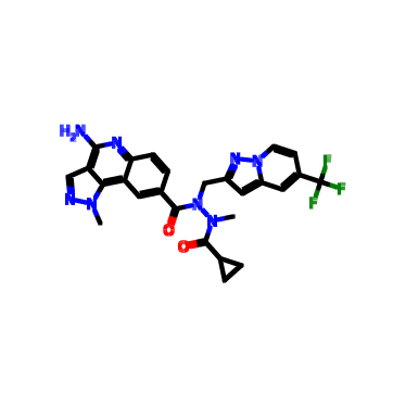 CN(C(=O)C1CC1)N(Cc1cc2cc(C(F)(F)F)ccn2n1)C(=O)c1ccc2nc(N)c3cnn(C)c3c2c1